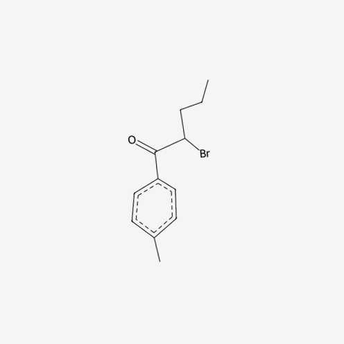 CCCC(Br)C(=O)c1ccc(C)cc1